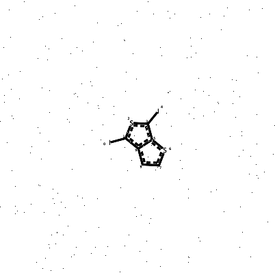 Ic1sc(I)c2sccc12